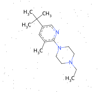 CCN1CCN(c2ncc(C(C)(C)C)cc2C)CC1